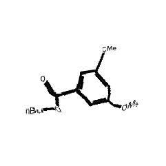 CCCCOC(=O)c1cc(OC)cc(OC)c1